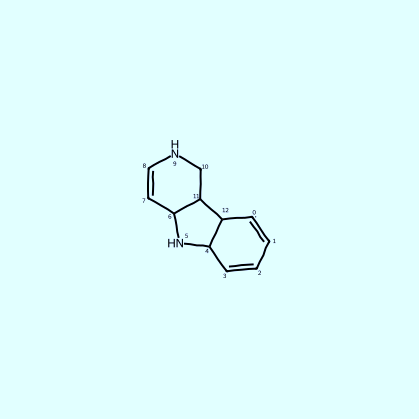 [C]1=CC=CC2NC3C=CNCC3C12